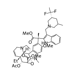 CC[C@]12C=CCN3CC[C@@]4(c5cc([C@](C)(C(=O)OC)c6[nH]c7ccccc7c6CN6CC(C)C[C@@H](C(C)(F)F)C6)c(OC)cc5N(C)[C@]45O[C@]5(C(=O)OC)[C@@H]1OC(C)=O)[C@@H]32